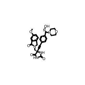 COc1ccc2c(c1)C(=O)N(C[C@@]1(C#Cc3ccc(C(=NO)N4CCOCC4)cc3)NC(=O)NC1=O)C2